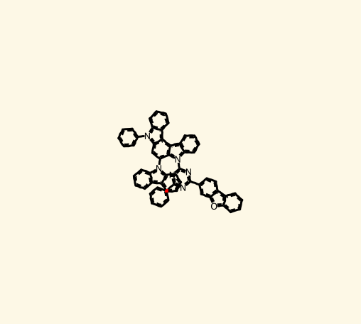 c1ccc(-c2nc(-c3ccc4c(c3)oc3ccccc34)nc(-n3c4ccccc4c4c5c6ccccc6n(-c6ccccc6)c5cc(-n5c6ccccc6c6ccccc65)c43)n2)cc1